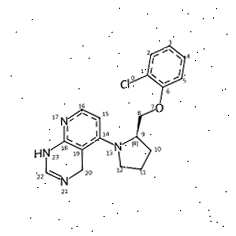 Clc1ccccc1OC[C@H]1CCCN1c1ccnc2c1CN=CN2